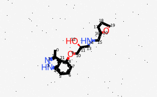 Cc1n[nH]c2cccc(OC[C@@H](O)CNCC3CCCO3)c12